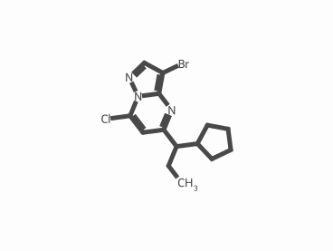 CCC(c1cc(Cl)n2ncc(Br)c2n1)C1CCCC1